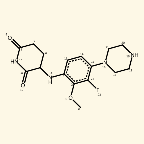 COc1c(NC2CCC(=O)NC2=O)ccc(N2CCNCC2)c1F